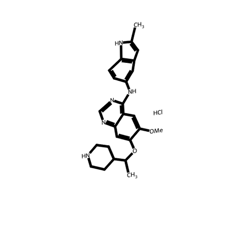 COc1cc2c(Nc3ccc4[nH]c(C)cc4c3)ncnc2cc1OC(C)C1CCNCC1.Cl